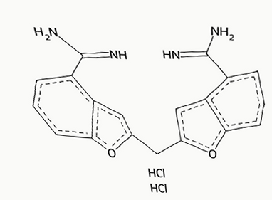 Cl.Cl.N=C(N)c1cccc2oc(Cc3cc4c(C(=N)N)cccc4o3)cc12